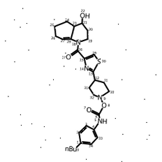 CCCCc1ccc(NC(=O)ON2CCC(c3nc(C(=O)N4CCC(O)C5CCCC=C54)cs3)CC2)cc1